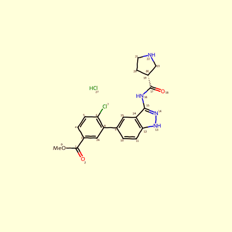 COC(=O)c1ccc(Cl)c(-c2ccc3[nH]nc(NC(=O)[C@@H]4CCNC4)c3c2)c1.Cl